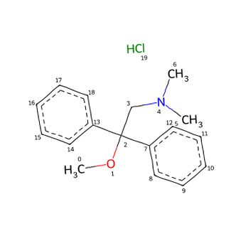 COC(CN(C)C)(c1ccccc1)c1ccccc1.Cl